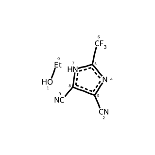 CCO.N#Cc1nc(C(F)(F)F)[nH]c1C#N